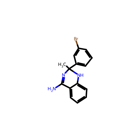 CC1(c2cccc(Br)c2)N=C(N)c2ccccc2N1